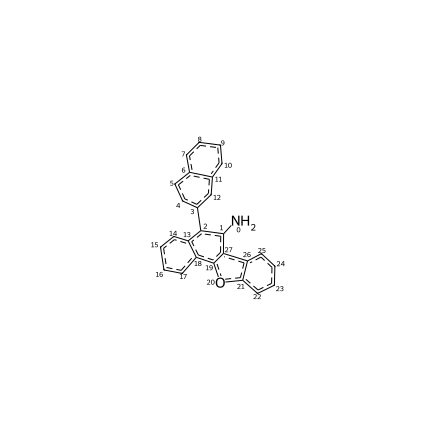 Nc1c(-c2ccc3ccccc3c2)c2ccccc2c2oc3ccccc3c12